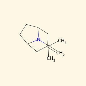 C=C1CC2CCC(C1)N2C(C)C